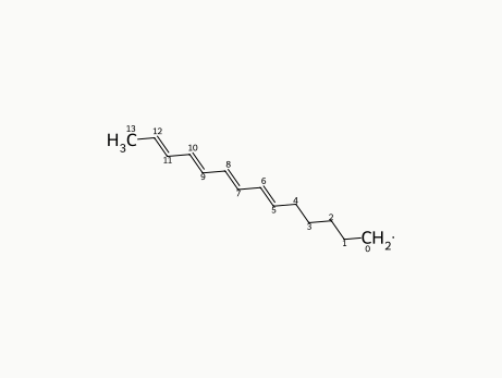 [CH2]CCCCC=CC=CC=CC=CC